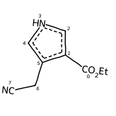 CCOC(=O)c1c[nH]cc1CC#N